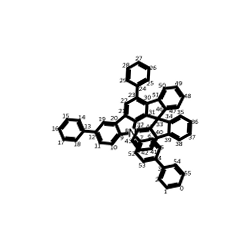 c1ccc(-c2ccc(-n3c4ccc(-c5ccccc5)cc4c4cc(-c5ccccc5)c5c(c43)C3(c4ccccc4-c4ccccc43)c3ccccc3-5)cc2)cc1